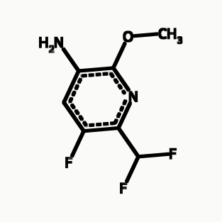 COc1nc(C(F)F)c(F)cc1N